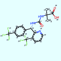 CC(C)(NC(=O)N[C@@H](c1ccc(C(F)(F)F)cc1)c1ncccc1C(F)(F)F)C(=O)O